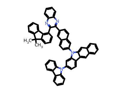 CC1(C)c2ccccc2-c2c(-c3nc4ccccc4nc3-c3ccc4cc(-n5c6cc(-n7c8ccccc8c8ccccc87)ccc6c6cc7ccccc7cc65)ccc4c3)cccc21